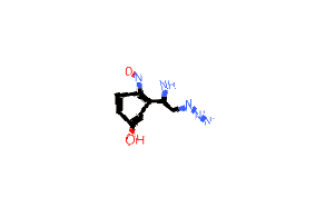 [N-]=[N+]=NCC(=N)c1cc(O)ccc1N=O